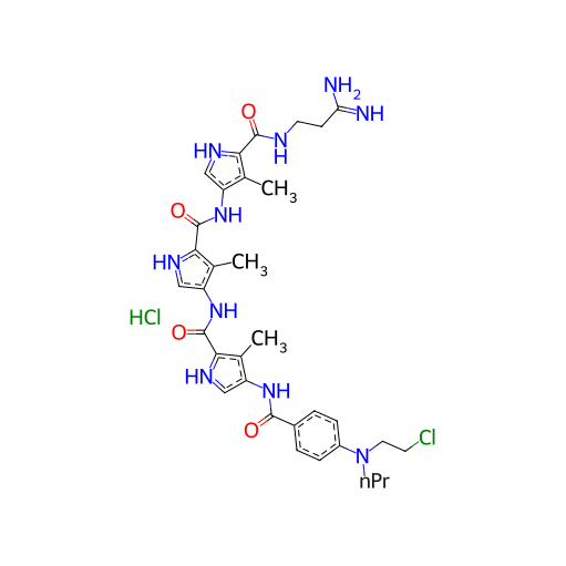 CCCN(CCCl)c1ccc(C(=O)Nc2c[nH]c(C(=O)Nc3c[nH]c(C(=O)Nc4c[nH]c(C(=O)NCCC(=N)N)c4C)c3C)c2C)cc1.Cl